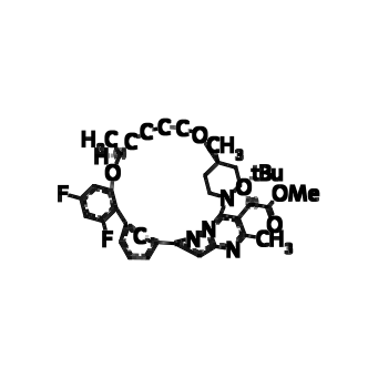 COC(=O)[C@@H](OC(C)(C)C)c1c(C)nc2cc3nn2c1N1CCC(C)(CC1)OCCCC[C@H](C)Oc1cc(F)cc(F)c1-c1cccc-3c1